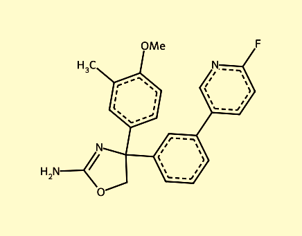 COc1ccc(C2(c3cccc(-c4ccc(F)nc4)c3)COC(N)=N2)cc1C